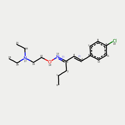 CCCC(/C=C/c1ccc(Cl)cc1)=N\OCCN(CC)CC